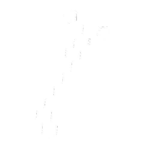 O=C(c1ncc[nH]1)N(Cc1ccc(CNCCCCN2CCc3ccccc3C2)cc1)Cc1ncc[nH]1